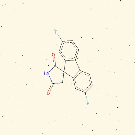 O=C1CC2(C(=O)N1)c1cc(F)ccc1-c1ccc(F)cc12